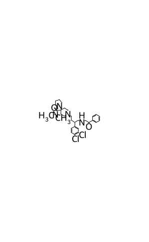 CN(C)C(=O)C1(N2CCCC2)CCN(CCC(CNCC(=O)c2ccccc2)c2ccc(Cl)c(Cl)c2)CC1